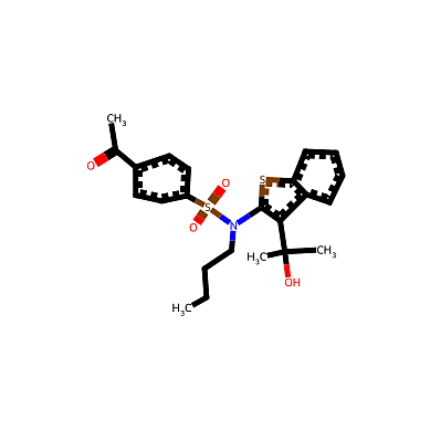 CCCCN(c1sc2ccccc2c1C(C)(C)O)S(=O)(=O)c1ccc(C(C)=O)cc1